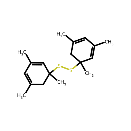 CC1=CC(C)(SSC2(C)C=C(C)C=C(C)C2)CC(C)=C1